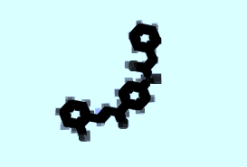 O=C(Cc1ccccc1)Nc1ccc(C(=O)/C=C/c2ccccc2Cl)cc1